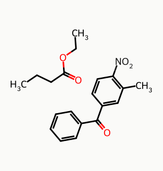 CCCC(=O)OCC.Cc1cc(C(=O)c2ccccc2)ccc1[N+](=O)[O-]